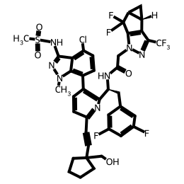 Cn1nc(NS(C)(=O)=O)c2c(Cl)ccc(-c3ccc(C#CC4(CO)CCCC4)nc3[C@H](Cc3cc(F)cc(F)c3)NC(=O)Cn3nc(C(F)(F)F)c4c3C(F)(F)C3C[C@H]43)c21